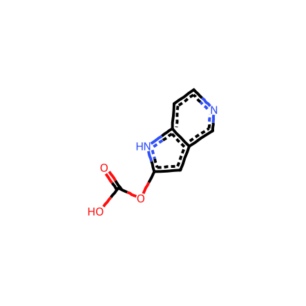 O=C(O)Oc1cc2cnccc2[nH]1